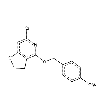 COc1ccc(COc2nc(Cl)cc3c2CCO3)cc1